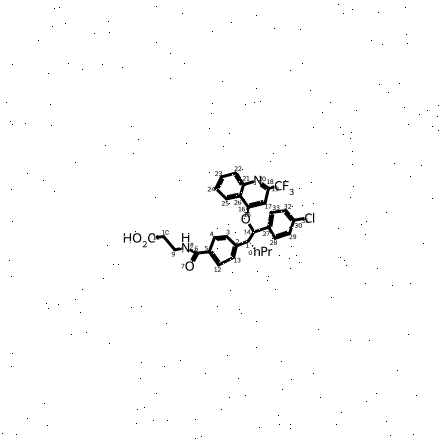 CCC[C@H](c1ccc(C(=O)NCCC(=O)O)cc1)C(Oc1cc(C(F)(F)F)nc2ccccc12)c1ccc(Cl)cc1